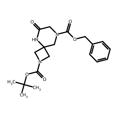 CC(C)(C)OC(=O)N1CC2(CN(C(=O)OCc3ccccc3)CC(=O)N2)C1